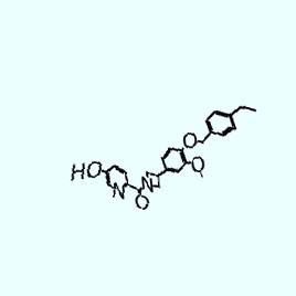 CCc1ccc(COc2ccc(C3CN(C(=O)c4ccc(O)cn4)C3)cc2OC)cc1